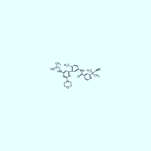 Cc1ccc(NC(=O)c2ccnc(C(C)(C)C#N)c2)cc1-c1cc(NC[C@@H](C)O)nc(N2CCOCC2)n1